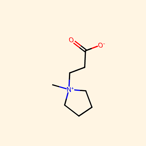 C[N+]1(CCC(=O)[O-])CCCC1